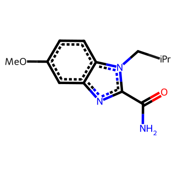 COc1ccc2c(c1)nc(C(N)=O)n2CC(C)C